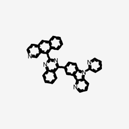 c1ccc(-n2c3ccc(-c4nc(-c5c6ccccc6cc6ccncc56)nc5ccccc45)cc3c3ncccc32)nc1